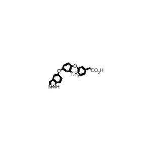 O=C(O)Cc1cccc(Oc2ccc(Oc3ccc4[nH]ncc4c3)cc2C(F)(F)F)c1